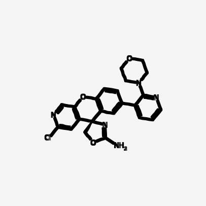 NC1=N[C@@]2(CO1)c1cc(-c3cccnc3N3CCOCC3)ccc1Oc1cnc(Cl)cc12